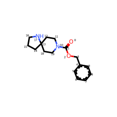 O=C(OCc1ccccc1)N1CCC2(CCCN2)CC1